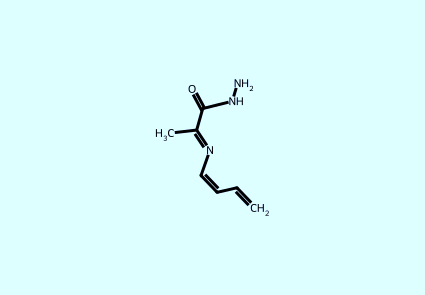 C=C/C=C\N=C(/C)C(=O)NN